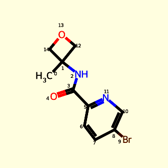 CC1(NC(=O)c2ccc(Br)cn2)COC1